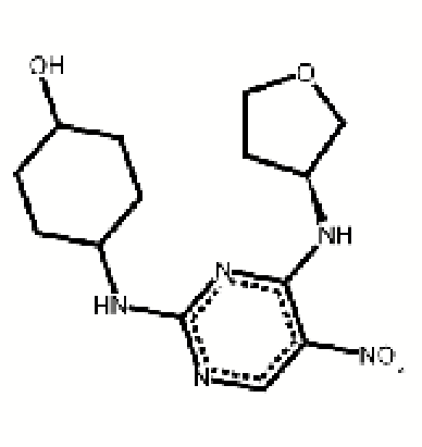 O=[N+]([O-])c1cnc(NC2CCC(O)CC2)nc1N[C@H]1CCOC1